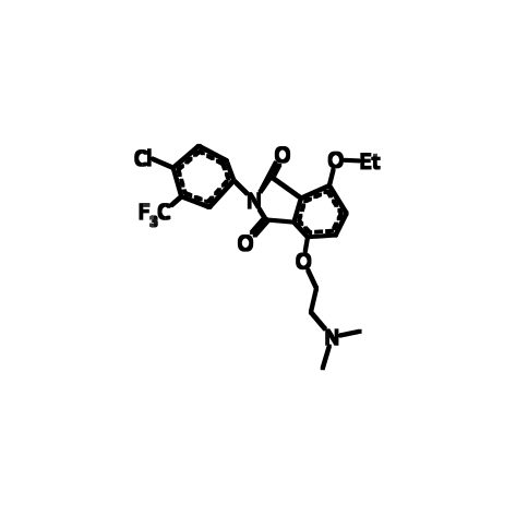 CCOc1ccc(OCCN(C)C)c2c1C(=O)N(c1ccc(Cl)c(C(F)(F)F)c1)C2=O